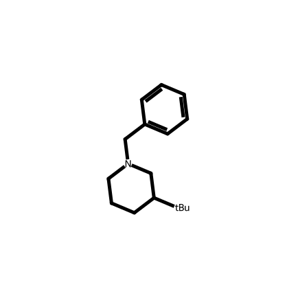 CC(C)(C)C1CCCN(Cc2ccccc2)C1